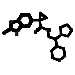 O=C(NCC(C1CCOCC1)N1CCCC1)C1(c2ccc3oc(=O)[nH]c3c2)CC1